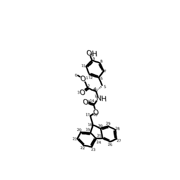 COC(=O)[C@H](Cc1ccc(O)cc1)NC(=O)OCC1c2ccccc2-c2ccccc21